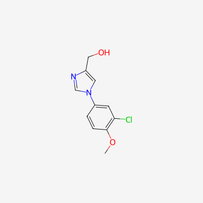 COc1ccc(-n2cnc(CO)c2)cc1Cl